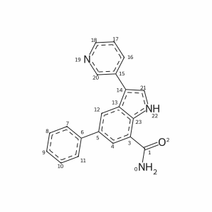 NC(=O)c1cc(-c2ccccc2)cc2c(-c3cccnc3)c[nH]c12